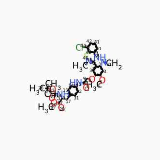 C=Nc1cc(OC)c(OCC(=O)Nc2ccc(C[C@H](NC(=O)OC(C)(C)C)C(=O)OC)cc2)cc1/C(=N\C)Nc1cccc(Cl)c1F